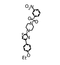 CCOc1ccc(-c2csc(N3CCN(S(=O)(=O)c4cccc([N+](=O)[O-])c4)CC3)n2)cc1